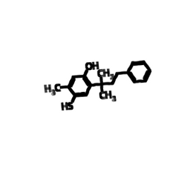 Cc1cc(O)c(C(C)(C)CCc2ccccc2)cc1S